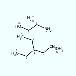 CCN(CC)CC.NCCO.O.O